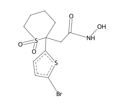 O=C(CC1(c2ccc(Br)s2)CCCCS1(=O)=O)NO